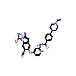 CCN1CCC(c2ccc(C(=O)Nc3cc(Oc4cc5cc(C)n(C(N)=O)c5cc4C#N)ccn3)cc2)CC1